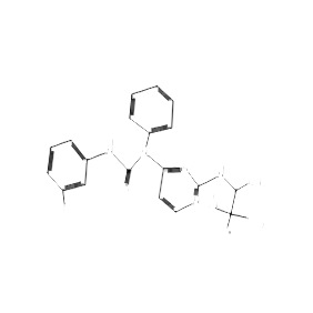 CC(Nc1nccc(N(C(=O)Nc2cccc(F)c2)c2ccccc2)n1)C(C)(C)O